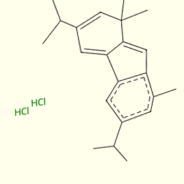 Cc1cc(C(C)C)cc2c1C=C1C2=CC(C(C)C)=C[C]1(C)[Zr].Cl.Cl